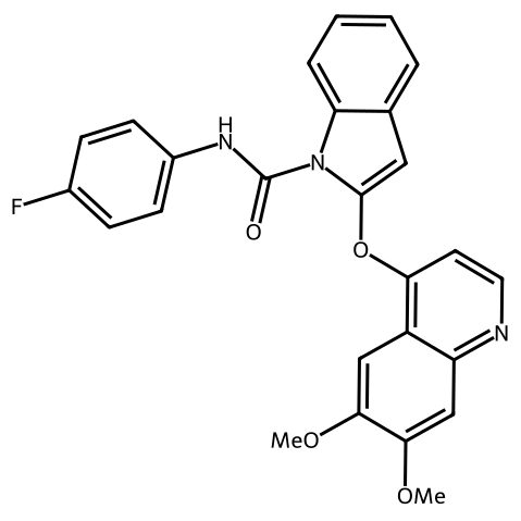 COc1cc2nccc(Oc3cc4ccccc4n3C(=O)Nc3ccc(F)cc3)c2cc1OC